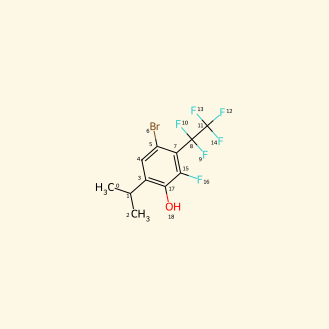 CC(C)c1cc(Br)c(C(F)(F)C(F)(F)F)c(F)c1O